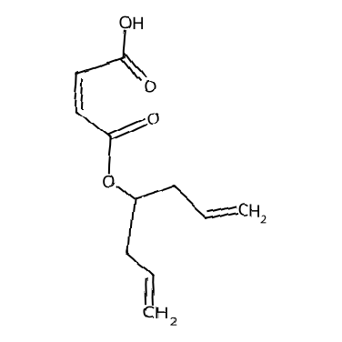 C=CCC(CC=C)OC(=O)/C=C\C(=O)O